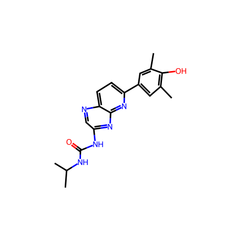 Cc1cc(-c2ccc3ncc(NC(=O)NC(C)C)nc3n2)cc(C)c1O